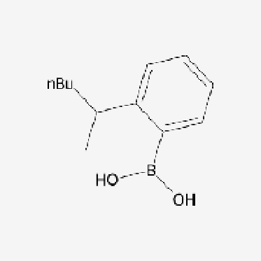 CCCCC(C)c1ccccc1B(O)O